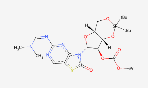 CC(C)OC(=O)O[C@@H]1[C@H]2O[Si](C(C)(C)C)(C(C)(C)C)OC[C@H]2O[C@H]1n1c(=O)sc2cnc(/N=C\N(C)C)nc21